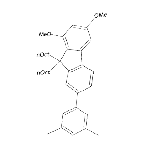 CCCCCCCCC1(CCCCCCCC)c2cc(-c3cc(C)cc(C)c3)ccc2-c2cc(OC)cc(OC)c21